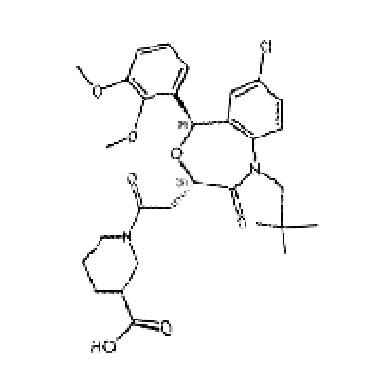 COc1cccc([C@@H]2O[C@@H](CC(=O)N3CCCC(C(=O)O)C3)C(=O)N(CC(C)(C)C)c3ccc(Cl)cc32)c1OC